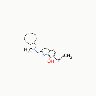 C=C/C=C\c1ccc2ccc(CN(C)CC3CCCCCCCC3)nc2c1O